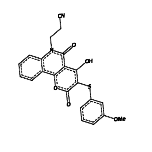 COc1cccc(Sc2c(O)c3c(=O)n(CCC#N)c4ccccc4c3oc2=O)c1